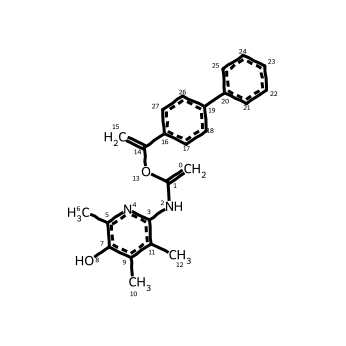 C=C(Nc1nc(C)c(O)c(C)c1C)OC(=C)c1ccc(-c2ccccc2)cc1